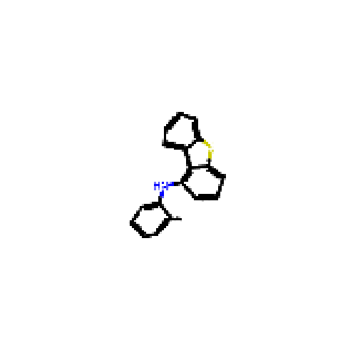 Cc1ccccc1Nc1cccc2sc3ccccc3c12